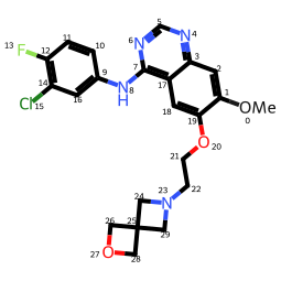 COc1cc2ncnc(Nc3ccc(F)c(Cl)c3)c2cc1OCCN1CC2(COC2)C1